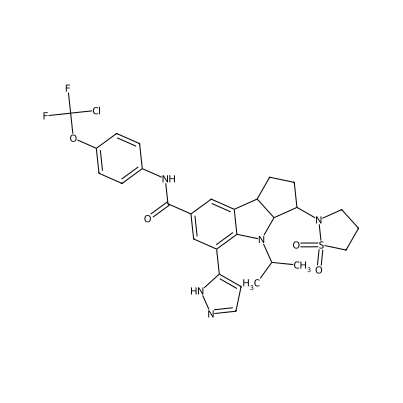 CC(C)N1c2c(-c3ccn[nH]3)cc(C(=O)Nc3ccc(OC(F)(F)Cl)cc3)cc2C2CCC(N3CCCS3(=O)=O)C21